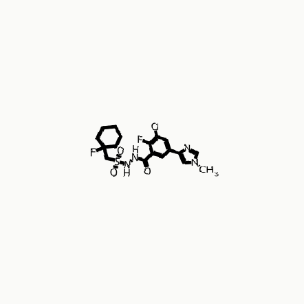 Cn1cnc(-c2cc(Cl)c(F)c(C(=O)NNS(=O)(=O)CC3(F)CCCCC3)c2)c1